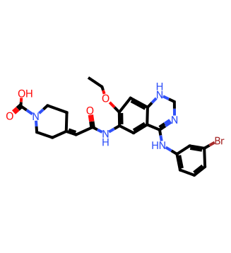 CCOc1cc2c(cc1NC(=O)C=C1CCN(C(=O)O)CC1)C(Nc1cccc(Br)c1)=NCN2